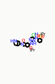 CC(C)Oc1cc2c(cc1Nc1ncc(Cl)c(Nc3ccccc3S(=O)(=O)C(C)C)n1)C(=O)N([C@H]1CC3CCNC(CC3)C1)C2